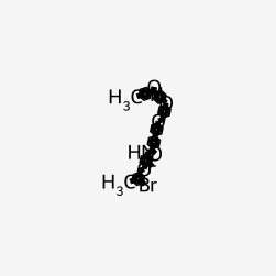 Cc1ccc(C(=O)N2CCC(Oc3ccc(COc4ccc(-c5ccc(C(=O)Nc6ccc(OCc7cc(C)cc(Br)c7)c(F)c6)cc5)cc4)cc3)CC2)cc1